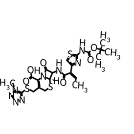 C/C=C(\C(=O)NC1C(=O)N2C(C(=O)O)=C(CSc3nnnn3C)CS[C@H]12)c1csc(NC(=O)OC(C)(C)C)n1